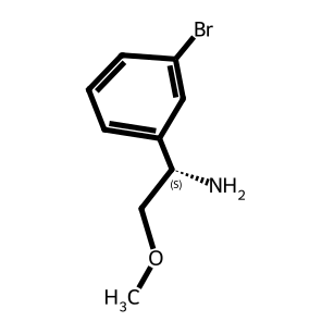 COC[C@@H](N)c1cccc(Br)c1